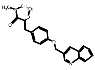 CCOC(Cc1ccc(OCc2cnc3ccccc3c2)cc1)C(=O)N(C)C